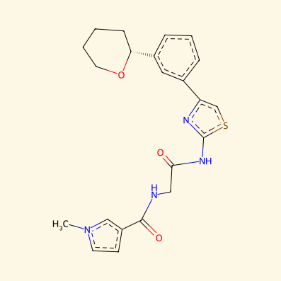 Cn1ccc(C(=O)NCC(=O)Nc2nc(-c3cccc([C@H]4CCCCO4)c3)cs2)c1